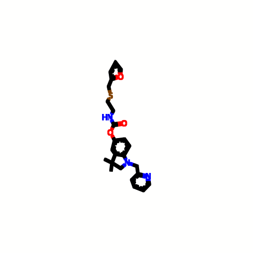 CC1(C)CN(Cc2ccccn2)c2ccc(OC(=O)NCCSCc3ccco3)cc21